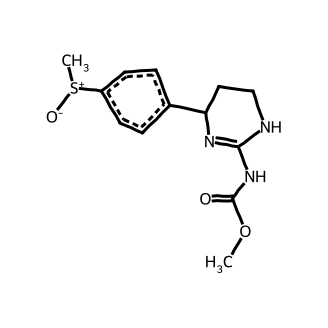 COC(=O)NC1=NC(c2ccc([S+](C)[O-])cc2)CCN1